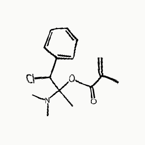 C=C(C)C(=O)OC(C)(C(Cl)c1ccccc1)N(C)C